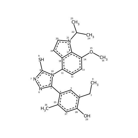 CCc1cc(-c2nnc(S)n2-c2ccc(OC)c3c2ccn3C(C)C)c(C)cc1O